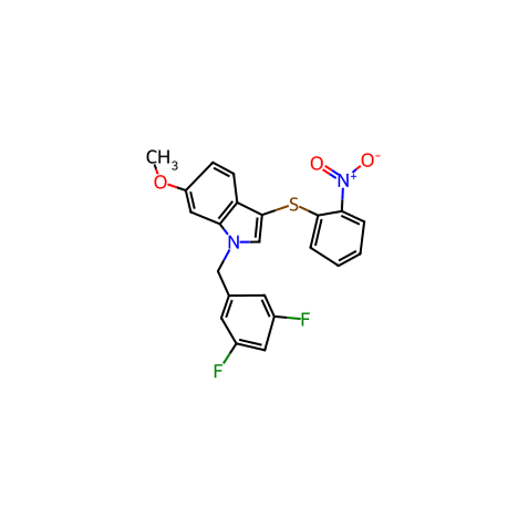 COc1ccc2c(Sc3ccccc3[N+](=O)[O-])cn(Cc3cc(F)cc(F)c3)c2c1